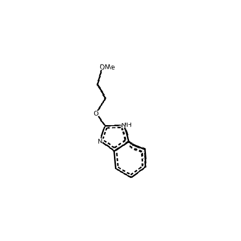 COCCOc1nc2ccccc2[nH]1